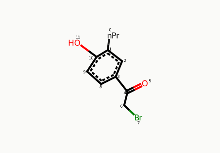 CCCc1cc(C(=O)CBr)ccc1O